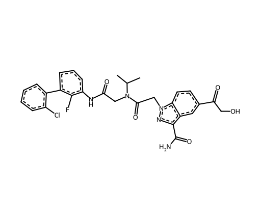 CC(C)N(CC(=O)Nc1cccc(-c2ccccc2Cl)c1F)C(=O)Cn1nc(C(N)=O)c2cc(C(=O)CO)ccc21